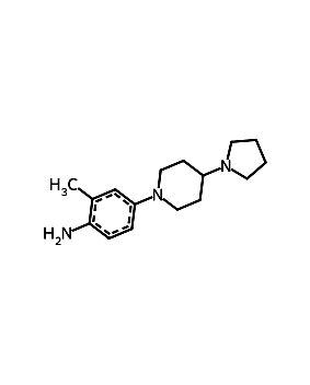 Cc1cc(N2CCC(N3CCCC3)CC2)ccc1N